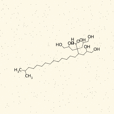 CC(C)CCCCCCCCCCCCC(CC(O)CO)C(CC(O)CO)(CC(O)CO)C(=O)O